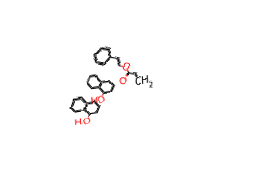 C=CC(=O)OC=Cc1ccccc1.Oc1cccc2ccccc12.Oc1cccc2ccccc12